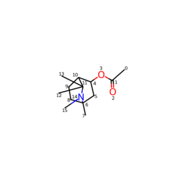 CC(=O)OC1CC2(C)CCC1C(C)(C)N2C